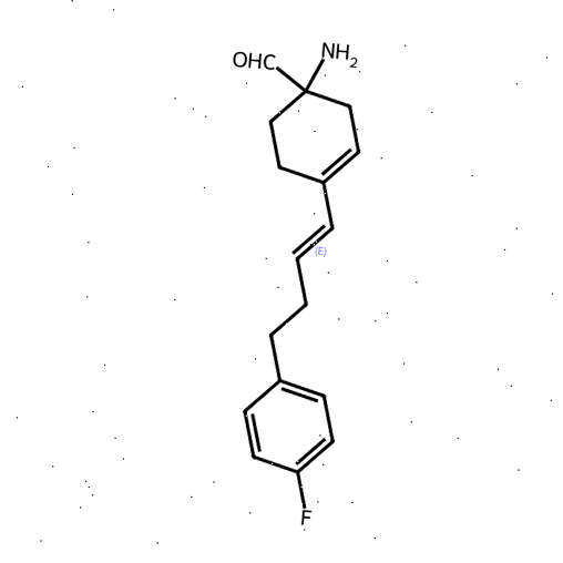 NC1(C=O)CC=C(/C=C/CCc2ccc(F)cc2)CC1